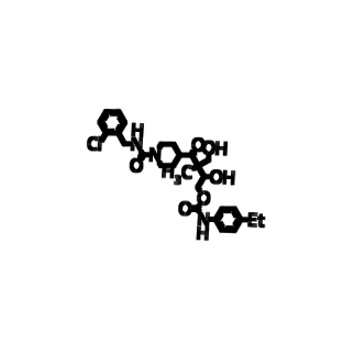 CCc1ccc(NC(=O)OCC(O)C(C)(CO)C(=O)C2CCN(C(=O)NCc3ccccc3Cl)CC2)cc1